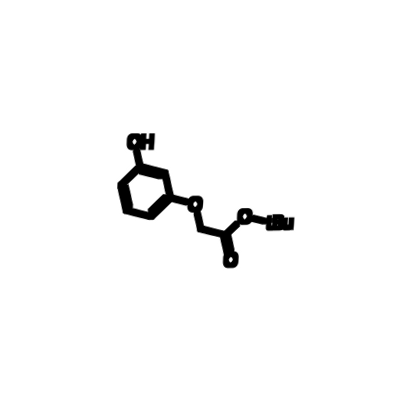 CC(C)(C)OC(=O)COc1cccc(O)c1